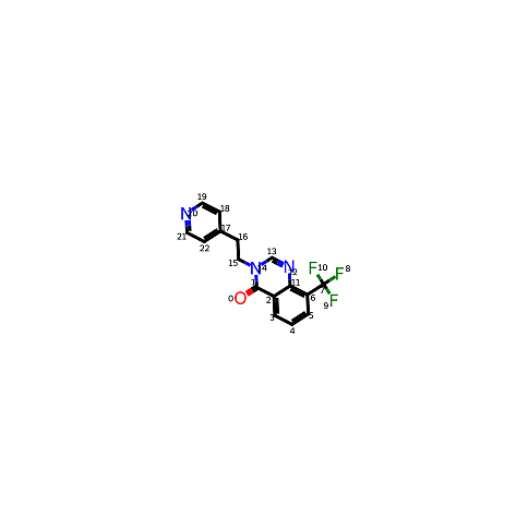 O=c1c2cccc(C(F)(F)F)c2ncn1CCc1ccncc1